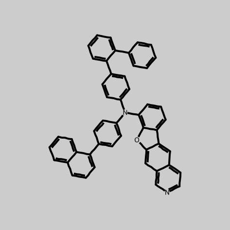 c1ccc(-c2ccccc2-c2ccc(N(c3ccc(-c4cccc5ccccc45)cc3)c3cccc4c3oc3cc5cnccc5cc34)cc2)cc1